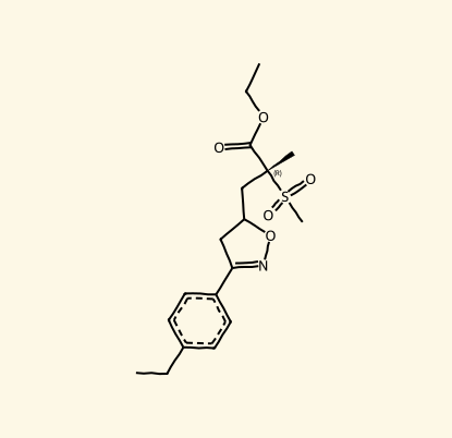 CCOC(=O)[C@@](C)(CC1CC(c2ccc(CC)cc2)=NO1)S(C)(=O)=O